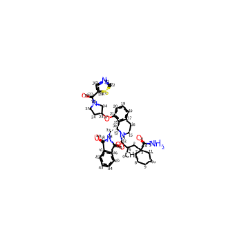 C[C@H](CC1(C(N)=O)CCCCC1)C(=O)N1CCc2cccc(OC3CCN(C(=O)c4cncs4)C3)c2[C@H]1CN1C(=O)c2ccccc2C1=O